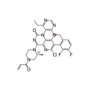 C=CC(=O)N1CCN(c2nc(=O)n(-c3c(CC)ncnc3CC)c3c4c(c(Cl)nc23)-c2c(ccc(F)c2F)CO4)[C@@H](C)C1